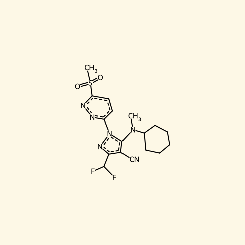 CN(c1c(C#N)c(C(F)F)nn1-c1ccc(S(C)(=O)=O)nn1)C1CCCCC1